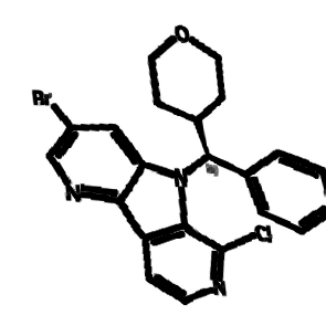 Clc1nccc2c3ncc(Br)cc3n([C@H](c3ccccc3)C3CCOCC3)c12